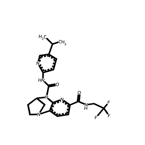 CC(C)c1ccc(NC(=O)N2c3nc(C(=O)NCC(F)(F)F)ccc3N3CCC2C3)nc1